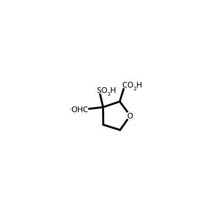 O=[C]C1(S(=O)(=O)O)CCOC1C(=O)O